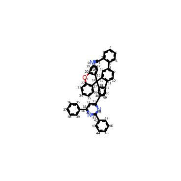 N#Cc1ccccc1-c1ccc2c(c1)C1(c3ccccc3Oc3ccccc31)c1cc(-c3cc(-c4ccccc4)nc(-c4ccccc4)n3)ccc1-2